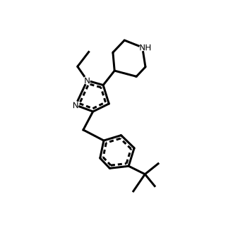 CCn1nc(Cc2ccc(C(C)(C)C)cc2)cc1C1CCNCC1